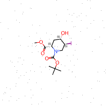 COC(=O)[C@@H]1C[C@H](O)[C@@H](I)CN1C(=O)OC(C)(C)C